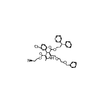 CC1=C(C(=O)OCCC#N)C(c2cccc(Cl)c2)C(C(=O)OCCC(c2ccccc2)c2ccccc2)=C(COCCOCc2ccccc2)N1